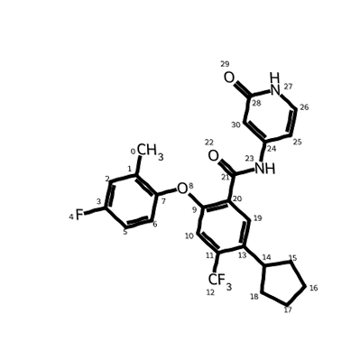 Cc1cc(F)ccc1Oc1cc(C(F)(F)F)c(C2CCCC2)cc1C(=O)Nc1cc[nH]c(=O)c1